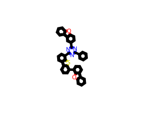 c1ccc(-c2nc(-c3ccc4oc5ccccc5c4c3)nc(-c3cccc4c3sc3c(-c5cccc6c5oc5ccccc56)cccc34)n2)cc1